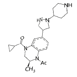 CC(=O)N1c2ccc(C3CNN(C4CCNCC4)C3)cc2N(C(=O)C2CC2)C[C@@H]1C